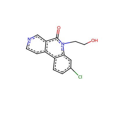 O=c1c2cnccc2c2ccc(Cl)cc2n1CCO